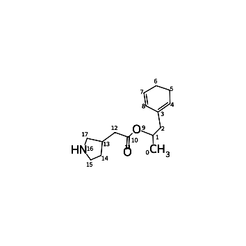 CC(CC1=CCCC=C1)OC(=O)CC1CCNC1